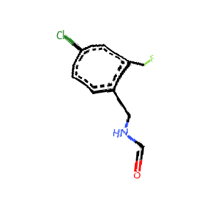 O=CNCc1ccc(Cl)cc1F